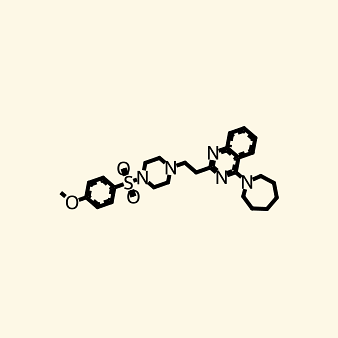 COc1ccc(S(=O)(=O)N2CCN(CCc3nc(N4CCCCCC4)c4ccccc4n3)CC2)cc1